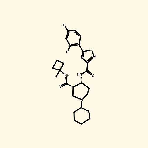 CC1(NC(=O)[C@@H]2CN(C3CCCCC3)CC[C@H]2NC(=O)c2cc(-c3ccc(F)cc3F)on2)CCC1